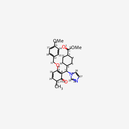 COC(=O)C1CCC(C(C2=C(OCc3ccc(OC)cc3)C=CC(C)C2=O)n2ccnc2)CC1